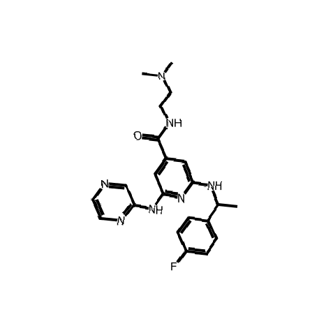 CC(Nc1cc(C(=O)NCCN(C)C)cc(Nc2cnccn2)n1)c1ccc(F)cc1